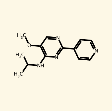 COc1cnc(-c2ccncc2)nc1NC(C)C